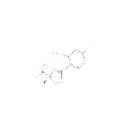 C[C@]1(C(=O)O)CSC(c2ccc(O)cc2O)=N1